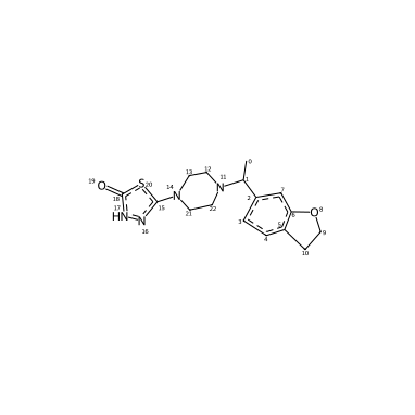 CC(c1ccc2c(c1)OCC2)N1CCN(c2n[nH]c(=O)s2)CC1